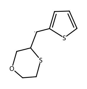 [CH](c1cccs1)C1COCCS1